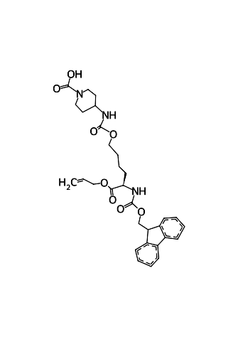 C=CCOC(=O)[C@@H](CCCCOC(=O)NC1CCN(C(=O)O)CC1)NC(=O)OCC1c2ccccc2-c2ccccc21